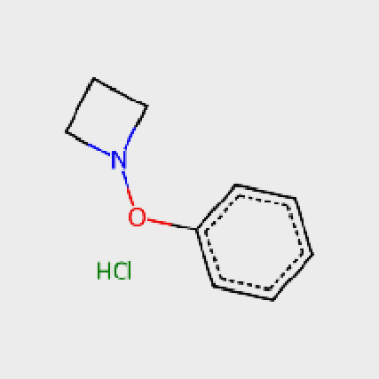 Cl.c1ccc(ON2CCC2)cc1